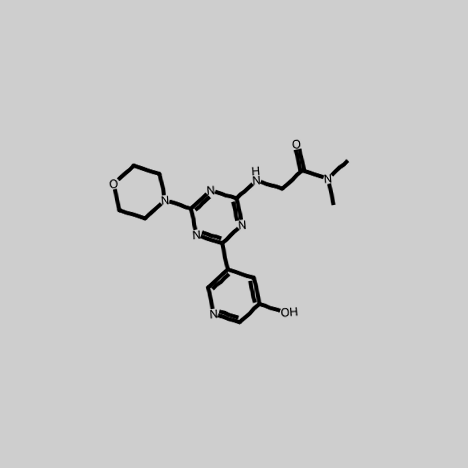 CN(C)C(=O)CNc1nc(-c2cncc(O)c2)nc(N2CCOCC2)n1